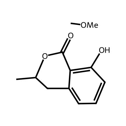 CC1Cc2cccc(O)c2C(=O)O1.COC